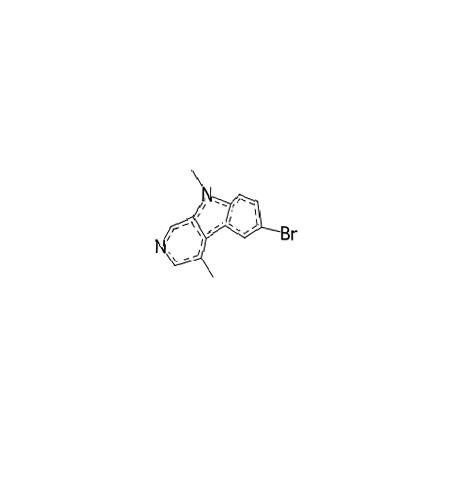 Cc1cncc2c1c1cc(Br)ccc1n2C